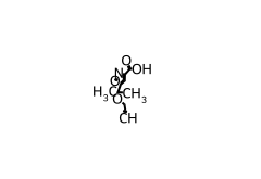 C#CCOC(C)(C)c1cc(C(=O)O)no1